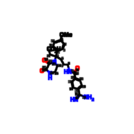 COc1ccc(C(CCCNC(=O)c2ccc(C(=N)N)cc2)(CC(=O)O)N2CCNC(=O)C2=O)cc1